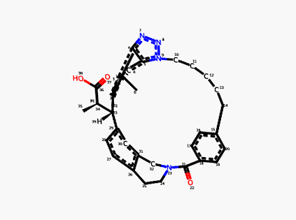 Cc1c2ccc3c1nnn3CCCCCc1ccc(cc1)C(=O)N1CCc3ccc(cc3C1)[C@@H]2[C@@H](C)C(=O)O